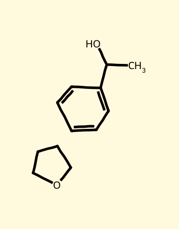 C1CCOC1.CC(O)c1ccccc1